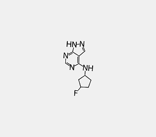 FC1CCC(Nc2ncnc3[nH]ncc23)C1